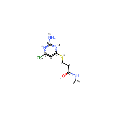 [CH2]CCNC(=O)CCSc1cc(Cl)nc(N)n1